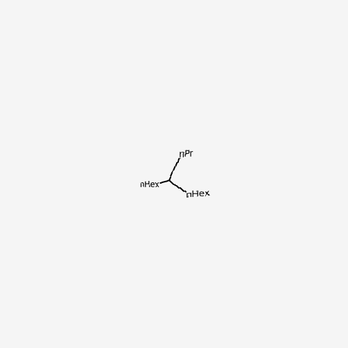 CCCCCCC(CCC)CCCCCC